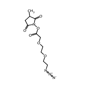 CC1CC(=O)N(OC(=O)COCCOCCN=[N+]=[N-])C1=O